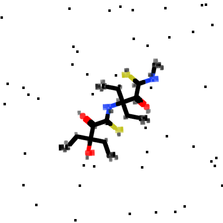 CCC(O)(CC)C(=O)C(S)NC(CC)(CC)C(=O)C(S)NC